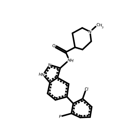 CN1CCC(C(=O)Nc2n[nH]c3ccc(-c4c(F)cccc4Cl)cc23)CC1